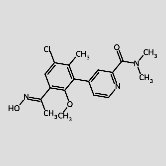 COc1c(/C(C)=N/O)cc(Cl)c(C)c1-c1ccnc(C(=O)N(C)C)c1